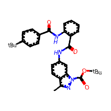 Cc1nn(C(=O)OC(C)(C)C)c2cc(NC(=O)c3ccccc3NC(=O)c3ccc(C(C)(C)C)cc3)ccc12